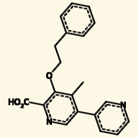 Cc1c(-c2cccnc2)cnc(C(=O)O)c1OCCc1ccccc1